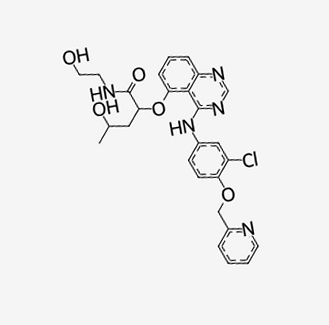 CC(O)CC(Oc1cccc2ncnc(Nc3ccc(OCc4ccccn4)c(Cl)c3)c12)C(=O)NCCO